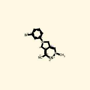 CN(C)/C=C1/CN(c2cccc(Br)c2)CC1=C(C#N)C#N